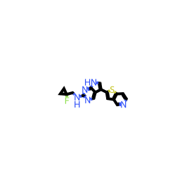 FC1(CNc2ncc3c(-c4cc5cnccc5s4)c[nH]c3n2)CC1